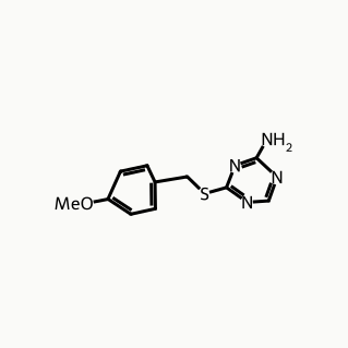 COc1ccc(CSc2ncnc(N)n2)cc1